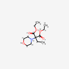 CCOC(=O)C(CC)(C(=O)OCC)N1CCOCC1